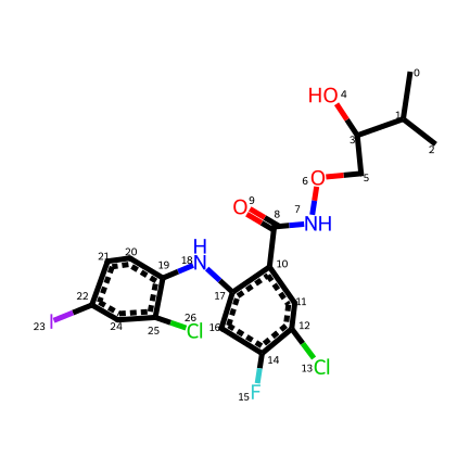 CC(C)C(O)CONC(=O)c1cc(Cl)c(F)cc1Nc1ccc(I)cc1Cl